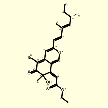 CCOC(=O)C=C1C2=COC(/C=C/C(C)=C/[C@@H](C)CC)=CC2=C(Br)C(=O)C1(C)O